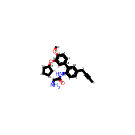 CC#CCc1ccc(NC(=O)CN)c(-c2ccc(OC)c(OC3CCCC3)c2)c1